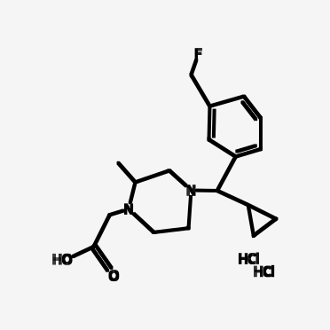 CC1CN(C(c2cccc(CF)c2)C2CC2)CCN1CC(=O)O.Cl.Cl